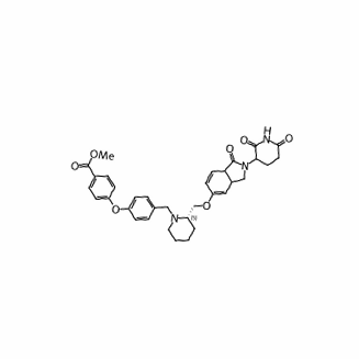 COC(=O)c1ccc(Oc2ccc(CN3CCCC[C@H]3COC3=CC4CN(C5CCC(=O)NC5=O)C(=O)C4C=C3)cc2)cc1